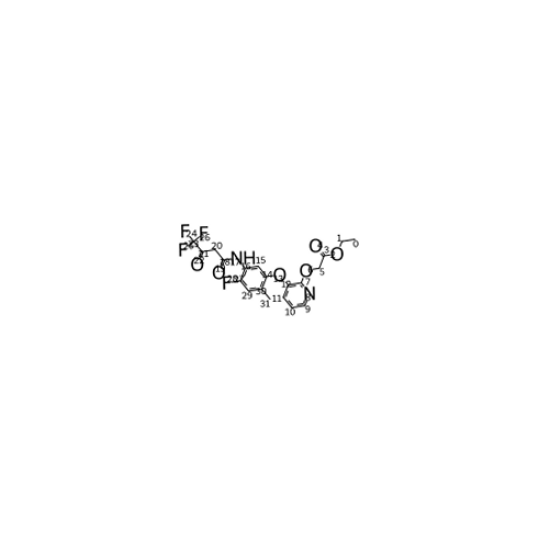 CCOC(=O)COc1ncccc1Oc1cc(NC(=O)CC(=O)C(F)(F)F)c(F)cc1C